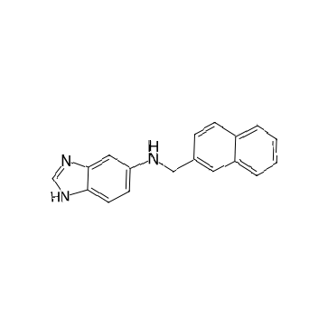 c1ccc2cc(CNc3ccc4[nH]cnc4c3)ccc2c1